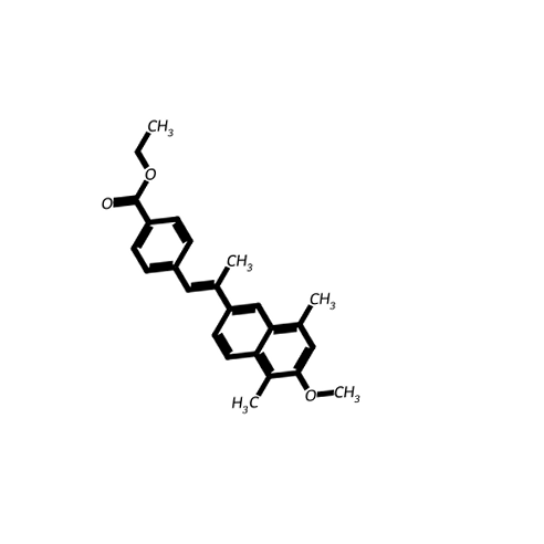 CCOC(=O)c1ccc(/C=C(\C)c2ccc3c(C)c(OC)cc(C)c3c2)cc1